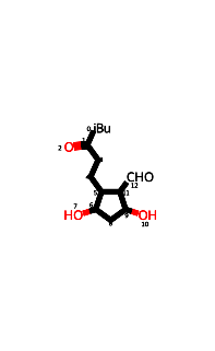 CCC(C)C(=O)CCC1C(O)CC(O)C1C=O